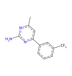 Cc1cc(-c2cccc(C(F)(F)F)c2)nc(N)n1